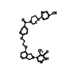 N#Cc1ccc(N2CCN(C(=O)c3ccc(OCCOc4cccc5c4CN(c4cn[nH]c(=O)c4C(F)(F)F)C5)cc3)CC2)nc1